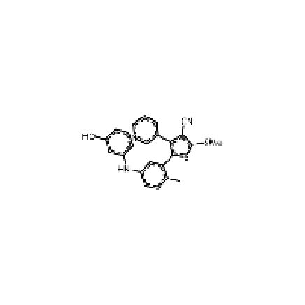 CSc1sc(-c2cc(Nc3cccc(O)c3)ccc2C)c(-c2cccnc2)c1C#N